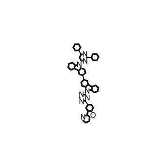 c1ccc(-c2cc(-n3c4ccccc4c4cc(-c5ccc6c(c5)c5ccccc5n6-c5ncnc(-c6ccc7oc8cccnc8c7c6)n5)ccc43)nc(-c3ccccc3)n2)cc1